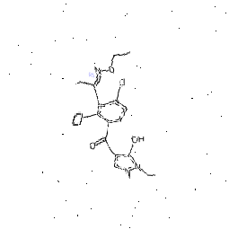 CCO/N=C(/C)c1c(Cl)ccc(C(=O)c2cnn(C)c2O)c1Cl